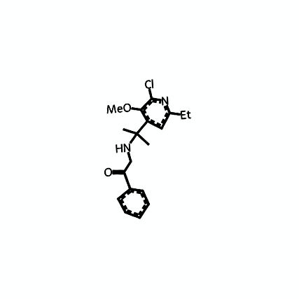 CCc1cc(C(C)(C)NCC(=O)c2ccccc2)c(OC)c(Cl)n1